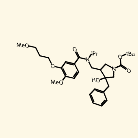 COCCCOc1cc(C(=O)N(CC2CN(C(=O)OC(C)(C)C)CC2(O)Cc2ccccc2)C(C)C)ccc1OC